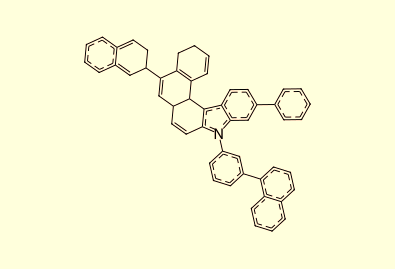 C1=CC2=C(CC1)C(C1C=c3ccccc3=CC1)=CC1C=Cc3c(c4ccc(-c5ccccc5)cc4n3-c3cccc(-c4cccc5ccccc45)c3)C21